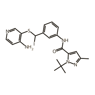 Cc1cc(C(=O)Nc2cccc(C(I)Sc3cnccc3N)c2)n(C(C)(C)C)n1